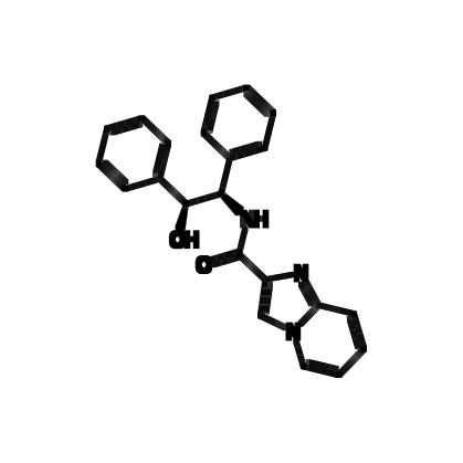 O=C(N[C@H](c1ccccc1)[C@@H](O)c1ccccc1)c1cn2ccccc2n1